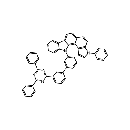 c1ccc(-c2nc(-c3ccccc3)nc(-c3cccc(-c4cccc(-n5c6ccccc6c6ccc7ccc8c(ccn8-c8ccccc8)c7c65)c4)c3)n2)cc1